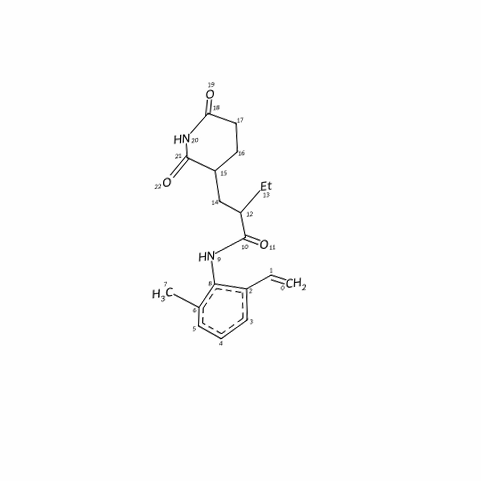 C=Cc1cccc(C)c1NC(=O)C(CC)CC1CCC(=O)NC1=O